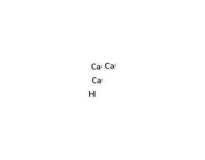 I.[Ca].[Ca].[Ca]